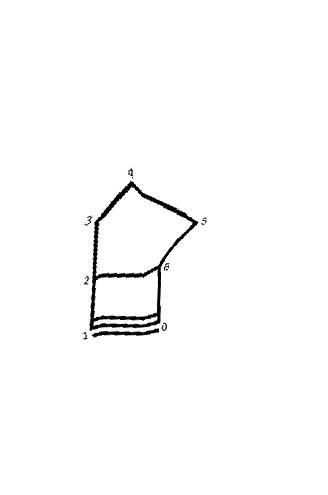 C1#CC2CCCC12